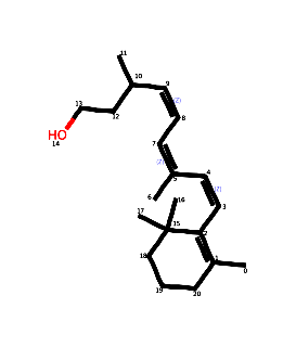 CC1=C(\C=C/C(C)=C\C=C/C(C)CCO)C(C)(C)CCC1